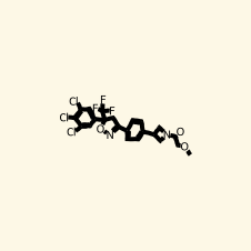 COCC(=O)N1CC(c2ccc(C3=NOC(c4cc(Cl)c(Cl)c(Cl)c4)(C(F)(F)F)C3)cc2)C1